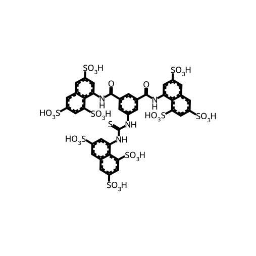 O=C(Nc1cc(S(=O)(=O)O)cc2cc(S(=O)(=O)O)cc(S(=O)(=O)O)c12)c1cc(NC(=S)Nc2cc(S(=O)(=O)O)cc3cc(S(=O)(=O)O)cc(S(=O)(=O)O)c23)cc(C(=O)Nc2cc(S(=O)(=O)O)cc3cc(S(=O)(=O)O)cc(S(=O)(=O)O)c23)c1